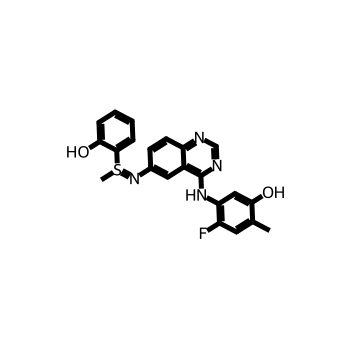 Cc1cc(F)c(Nc2ncnc3ccc(N=S(C)c4ccccc4O)cc23)cc1O